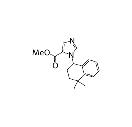 COC(=O)c1cncn1C1CCC(C)(C)c2ccccc21